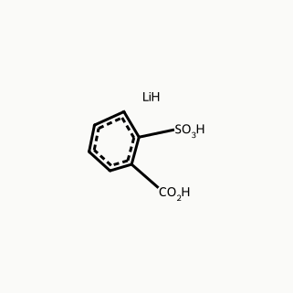 O=C(O)c1ccccc1S(=O)(=O)O.[LiH]